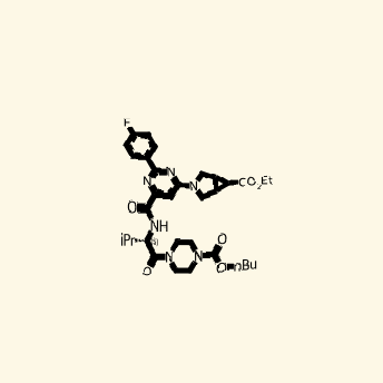 CCCCOC(=O)N1CCN(C(=O)[C@@H](NC(=O)c2cc(N3CC4C(C3)C4C(=O)OCC)nc(-c3ccc(F)cc3)n2)C(C)C)CC1